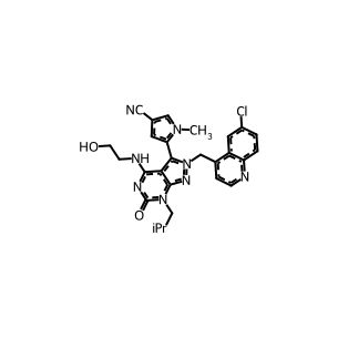 CC(C)Cn1c(=O)nc(NCCO)c2c(-c3cc(C#N)cn3C)n(Cc3ccnc4ccc(Cl)cc34)nc21